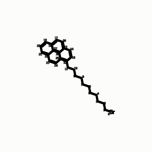 BrCCCCCCCCCCCc1ccc2ccc3cccc4ccc1c2c34